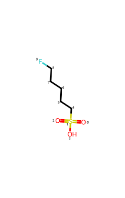 O=S(=O)(O)CCCCCF